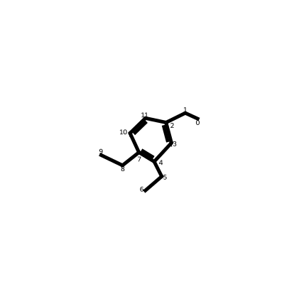 CCc1[c]c(CC)c(CC)[c]c1